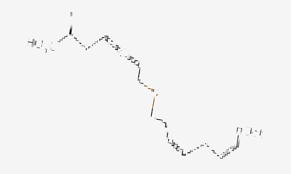 CCCCCCCC/C=C\C/C=C\CCSCC=C=CCC(C)C(=O)O